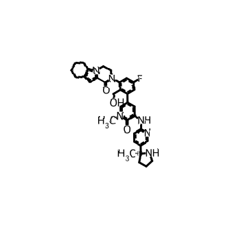 Cn1cc(-c2cc(F)cc(N3CCn4c(cc5c4CCCC5)C3=O)c2CO)cc(Nc2ccc([C@]3(C)CCCN3)cn2)c1=O